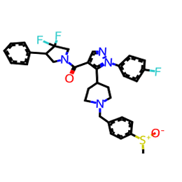 C[S+]([O-])c1ccc(CN2CCC(c3c(C(=O)N4CC(c5ccccc5)C(F)(F)C4)cnn3-c3ccc(F)cc3)CC2)cc1